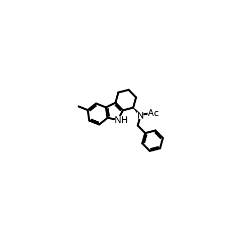 CC(=O)N(Cc1ccccc1)[C@@H]1CCCc2c1[nH]c1ccc(C)cc21